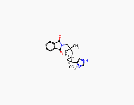 CC(C)(C[C@H]1C[C@]1(C(=O)O)c1c[nH]cn1)CN1C(=O)c2ccccc2C1=O